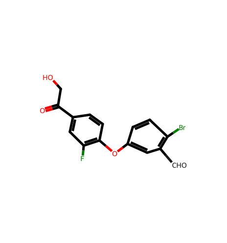 O=Cc1cc(Oc2ccc(C(=O)CO)cc2F)ccc1Br